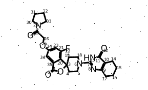 O=C1OC2(CCN(c3nc4c(c(=O)[nH]3)CCCC4)CC2)c2c(F)cc(OCC(=O)N3CCCC3)cc21